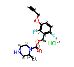 C#CCOc1ccc(F)c(COC(=O)N2CCNCC2CC)c1F.Cl